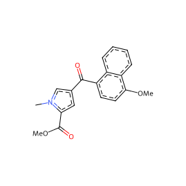 COC(=O)c1cc(C(=O)c2ccc(OC)c3ccccc23)cn1C